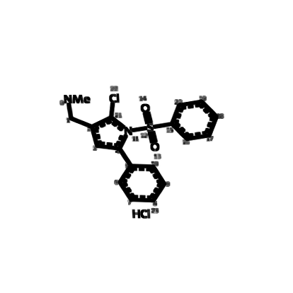 CNCc1cc(-c2ccccc2)n(S(=O)(=O)c2ccccc2)c1Cl.Cl